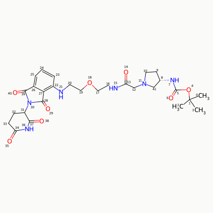 CC(C)(C)OC(=O)N[C@H]1CCN(CC(=O)NCCOCCNc2cccc3c2C(=O)N(C2CCC(=O)NC2=O)C3=O)C1